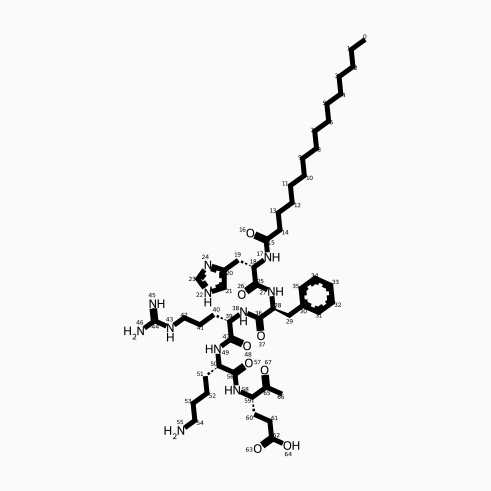 CCCCCCCCCCCCCCCC(=O)N[C@@H](Cc1c[nH]cn1)C(=O)N[C@@H](Cc1ccccc1)C(=O)N[C@@H](CCCNC(=N)N)C(=O)N[C@@H](CCCCN)C(=O)N[C@@H](CCC(=O)O)C(C)=O